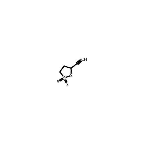 C#CC1CCS(=S)(=S)S1